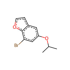 CC(C)Oc1cc(Br)c2occc2c1